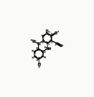 N#Cc1c2c(c[nH]c1=O)[S+]([O-])c1ccc(Cl)cc1N2